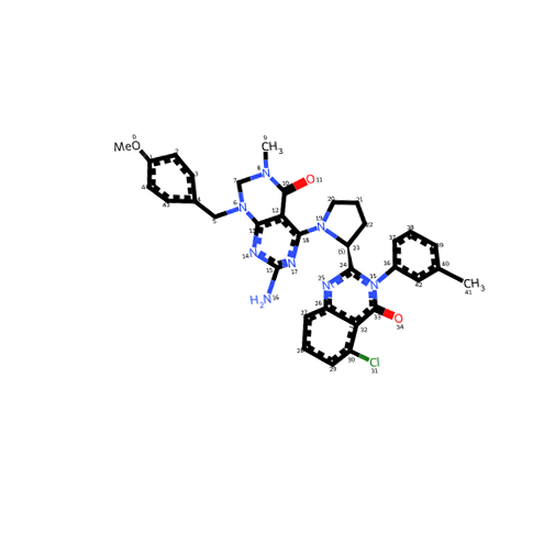 COc1ccc(CN2CN(C)C(=O)c3c2nc(N)nc3N2CCC[C@H]2c2nc3cccc(Cl)c3c(=O)n2-c2cccc(C)c2)cc1